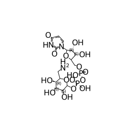 NCC1OC(OP(=O)(O)OP(=O)(O)OCC2OC(n3ccc(=O)[nH]c3=O)[C@H](O)[C@@H]2O)[C@@H](O)[C@@H](O)[C@H]1O